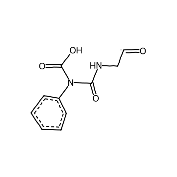 O=[C]CNC(=O)N(C(=O)O)c1ccccc1